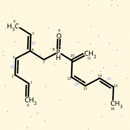 C=C/C=C\C(=C/C)C[PH](=O)C(=C)/C=C\C=C/C